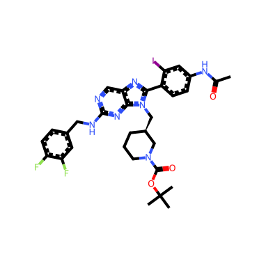 CC(=O)Nc1ccc(-c2nc3cnc(NCc4ccc(F)c(F)c4)nc3n2C[C@@H]2CCCN(C(=O)OC(C)(C)C)C2)c(I)c1